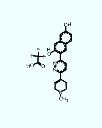 CN1CC=C(c2ccc(-c3cc4ccc(O)cc4cc3O)nn2)CC1.O=C(O)C(F)(F)F